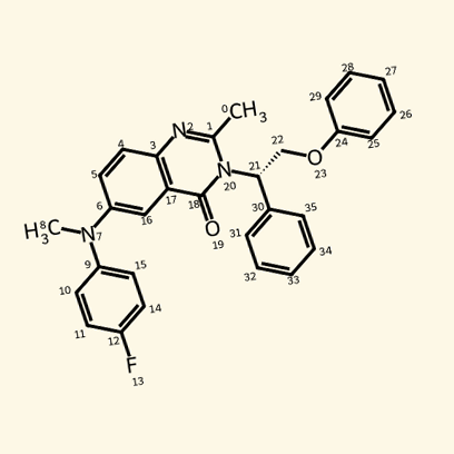 Cc1nc2ccc(N(C)c3ccc(F)cc3)cc2c(=O)n1[C@H](COc1ccccc1)c1ccccc1